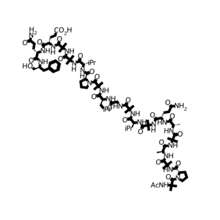 CC(=O)NC(C)(C)C(=O)N1CCC[C@H]1C(=O)NC(C)(C)C(=O)N[C@@H](C)C(=O)NC(C)(C)C(=O)N[C@@H](C)C(=O)N[C@@H](CCC(N)=O)C(=O)NC(C)(C)C(=O)N[C@H](C(=O)NC(C)(C)C(=O)NCC(=O)N[C@@H](CC(C)C)C(=O)NC(C)(C)C(=O)N1CCC[C@H]1C(=O)N[C@H](C(=O)NC(C)(C)C(=O)NC(C)(C)C(=O)N[C@@H](CCC(=O)O)C(=O)N[C@@H](CCC(N)=O)C(=O)N[C@H](CO)Cc1ccccc1)C(C)C)C(C)C